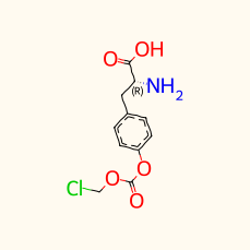 N[C@H](Cc1ccc(OC(=O)OCCl)cc1)C(=O)O